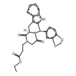 CCOC(=O)CCN1CC(=O)N2[C@H](c3ccc4c(c3)OCO4)c3[nH]c4ccccc4c3C[C@@H]2C1=O